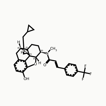 CN(C(=O)C=Cc1ccc(C(F)(F)F)cc1)[C@@H]1CC[C@@]2(O)[C@H]3Cc4ccc(O)c5c4[C@@]2(CCN3CC2CC2)[C@H]1O5